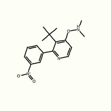 C[SiH](C)Oc1ccnc(-c2cccc([N+](=O)[O-])c2)c1C(C)(C)C